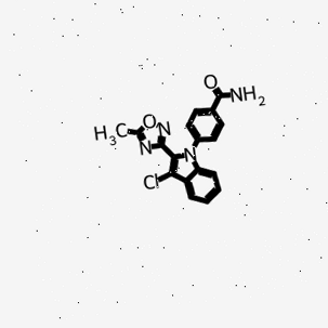 Cc1nc(-c2c(Cl)c3ccccc3n2-c2ccc(C(N)=O)cc2)no1